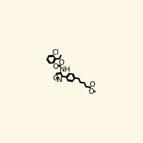 COC(=O)CCCCc1ccc(-c2nocc2NC(=O)OC(C)c2ccccc2Cl)cc1